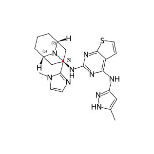 Cc1cc(Nc2nc(N[C@@H]3C[C@H]4CCC[C@@H](C3)N4Cc3nccn3C)nc3sccc23)n[nH]1